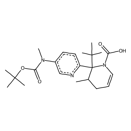 CC1CC=CN(C(=O)O)C1(c1ccc(N(C)C(=O)OC(C)(C)C)cn1)C(C)(C)C